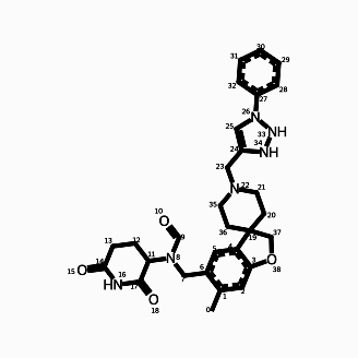 Cc1cc2c(cc1CN(C=O)C1CCC(=O)NC1=O)C1(CCN(CC3=CN(c4ccccc4)NN3)CC1)CO2